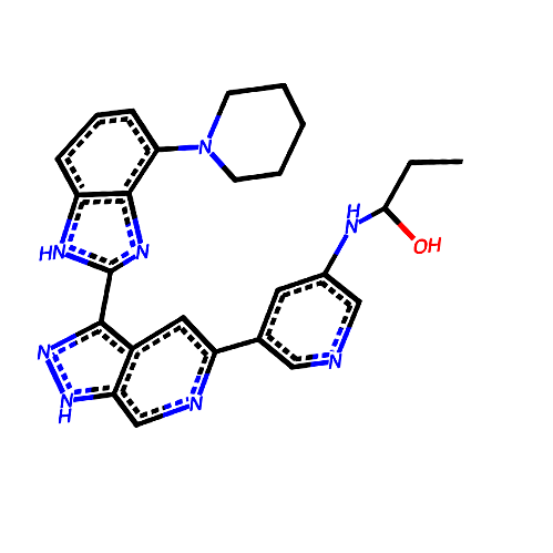 CCC(O)Nc1cncc(-c2cc3c(-c4nc5c(N6CCCCC6)cccc5[nH]4)n[nH]c3cn2)c1